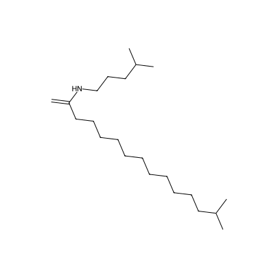 C=C(CCCCCCCCCCCC(C)C)NCCCC(C)C